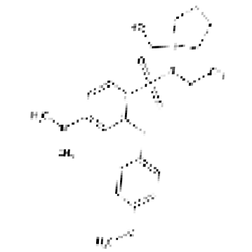 CCN(C1(CO)CCCC1)S(=O)(=O)c1ccc(N(C)C)cc1Cc1ccc(OC)cc1